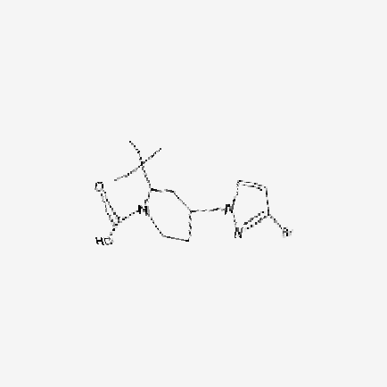 CC(C)(C)C1CC(n2ccc(Br)n2)CCN1C(=O)O